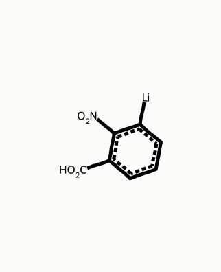 [Li][c]1cccc(C(=O)O)c1[N+](=O)[O-]